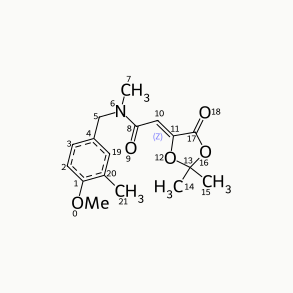 COc1ccc(CN(C)C(=O)/C=C2\OC(C)(C)OC2=O)cc1C